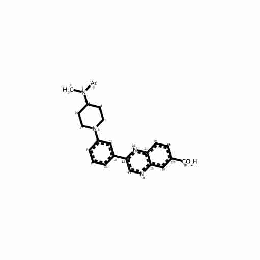 CC(=O)N(C)C1CCN(c2cccc(-c3cnc4cc(C(=O)O)ccc4n3)c2)CC1